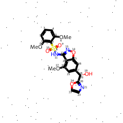 COc1cccc(OC)c1S(=O)(=O)Nc1noc2cc([C@H](O)c3ncco3)cc(OC)c12